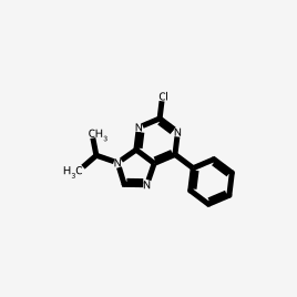 CC(C)n1cnc2c(-c3ccccc3)nc(Cl)nc21